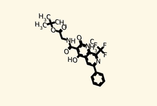 Cn1c(=O)c(C(=O)NCC(=O)OC(C)(C)C)c(O)c2cc(-c3ccccc3)nc(C(F)(F)F)c21